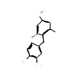 CCOc1cc(C)c(Cc2ccc(O)c(C(C)C)c2)c(C)c1